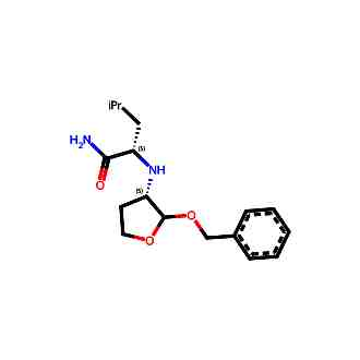 CC(C)C[C@H](N[C@H]1CCOC1OCc1ccccc1)C(N)=O